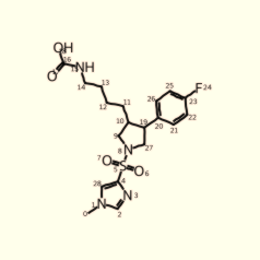 Cn1cnc(S(=O)(=O)N2CC(CCCCNC(=O)O)C(c3ccc(F)cc3)C2)c1